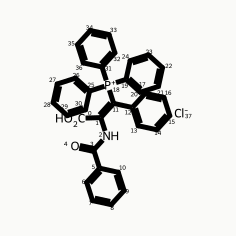 O=C(O)/C(NC(=O)c1ccccc1)=C(/c1ccccc1)[P+](c1ccccc1)(c1ccccc1)c1ccccc1.[Cl-]